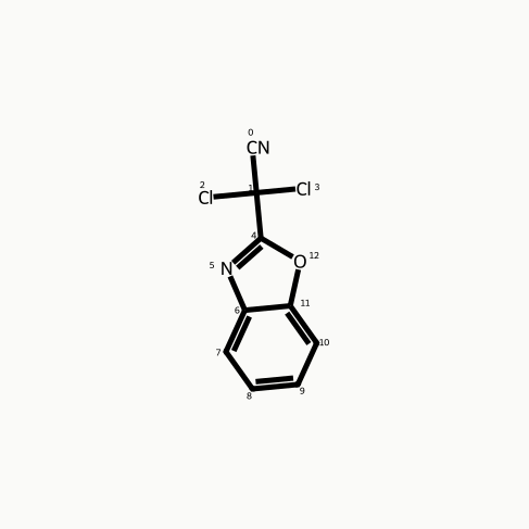 N#CC(Cl)(Cl)c1nc2ccccc2o1